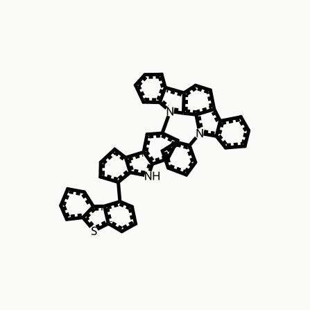 c1ccc(-n2c3ccccc3c3ccc4c5ccccc5n(-c5ccc6[nH]c7c(-c8cccc9sc%10ccccc%10c89)cccc7c6c5)c4c32)cc1